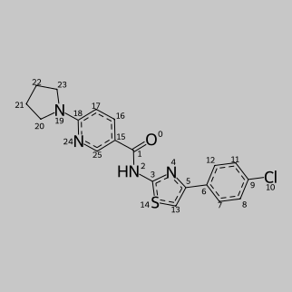 O=C(Nc1nc(-c2ccc(Cl)cc2)cs1)c1ccc(N2CCCC2)nc1